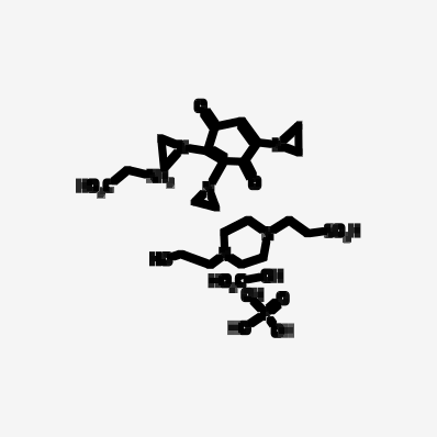 NCC(=O)O.O=C(O)O.O=C1C=C(N2CC2)C(=O)C(N2CC2)=C1N1CC1.O=P(O)(O)O.O=S(=O)(O)CCN1CCN(CCO)CC1